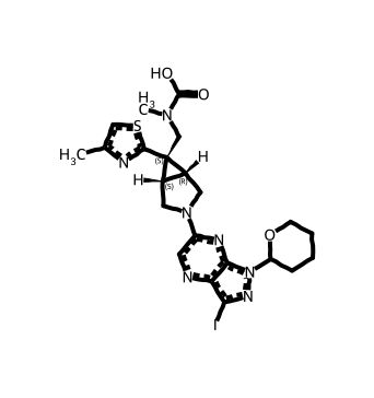 Cc1csc([C@]2(CN(C)C(=O)O)[C@@H]3CN(c4cnc5c(I)nn(C6CCCCO6)c5n4)C[C@@H]32)n1